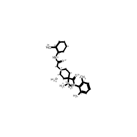 Cc1cccc(C)c1NC(=O)C1(N(C)C)CCN(CC(=O)NC2CCCCC2O)CC1.O